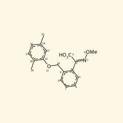 CO/N=C(\C(=O)O)c1ccccc1COc1cc(C)ccc1C